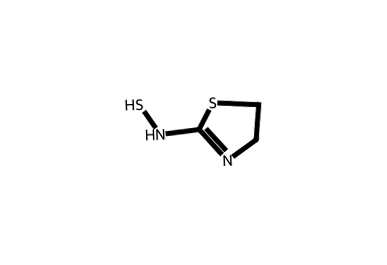 SNC1=NCCS1